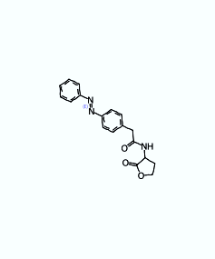 O=C(Cc1ccc(/N=N/c2ccccc2)cc1)NC1CCOC1=O